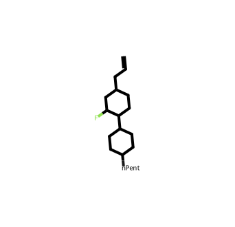 C=CCC1CCC(C2CCC(CCCCC)CC2)C(F)C1